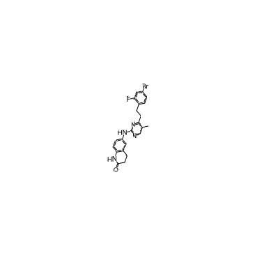 Cc1cnc(Nc2ccc3c(c2)CCC(=O)N3)nc1CCc1ccc(Br)cc1F